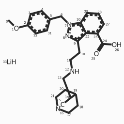 COc1ccc(Cn2nc(CCNCC3CN4CCC3CC4)c3c(C(=O)O)cccc32)cc1.[LiH]